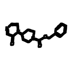 O=C(OCc1ccccc1)N1CCC(n2ccncc2=O)CC1